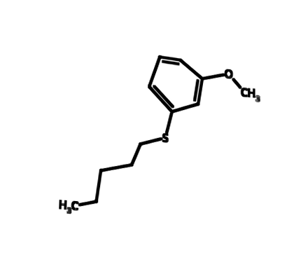 CCCCCSc1cccc(OC)c1